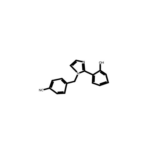 N#Cc1ccc(Cn2ccnc2-c2ccccc2O)cc1